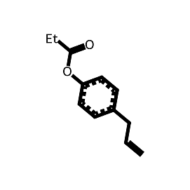 C=CCc1ccc(OC(=O)CC)cc1